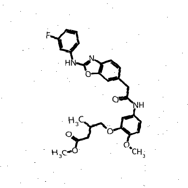 COC(=O)CC(C)COc1cc(NC(=O)Cc2ccc3nc(Nc4cccc(F)c4)oc3c2)ccc1OC